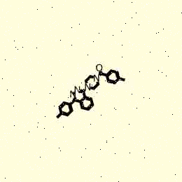 Cc1ccc(C(=O)N2CCN(c3nnc(-c4ccc(C)cc4)c4ccccc34)CC2)cc1